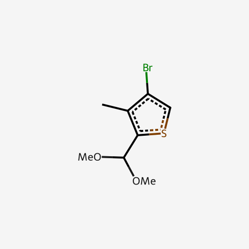 COC(OC)c1scc(Br)c1C